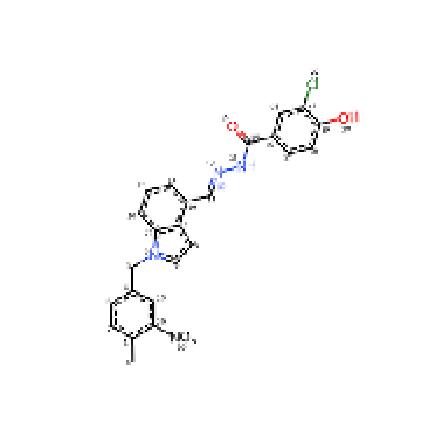 Cc1ccc(Cn2ccc3c(/C=N/NC(=O)c4ccc(O)c(Cl)c4)cccc32)cc1[N+](=O)[O-]